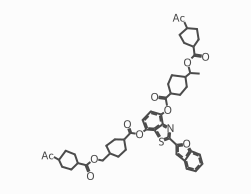 CC(=O)C1CCC(C(=O)OCC2CCC(C(=O)Oc3ccc(OC(=O)C4CCC(C(C)OC(=O)C5CCC(C(C)=O)CC5)CC4)c4nc(-c5cc6ccccc6o5)sc34)CC2)CC1